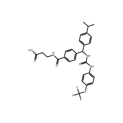 CC(C)c1ccc(C(NC(=O)Nc2ccc(OC(F)(F)F)cc2)c2ccc(C(=O)NCCC(=O)O)cc2)cc1